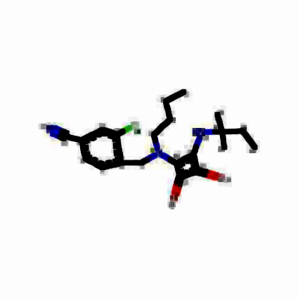 CCCCN(Cc1ccc(C#N)cc1Cl)c1c(NC(C)(C)CC)c(=O)c1=O